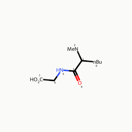 CCCCC(NC)C(=O)NCC(=O)O